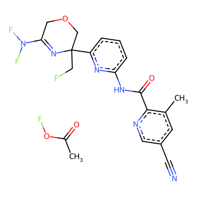 CC(=O)OF.Cc1cc(C#N)cnc1C(=O)Nc1cccc(C2(CF)COCC(N(F)F)=N2)n1